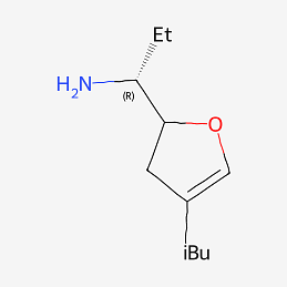 CCC(C)C1=COC([C@H](N)CC)C1